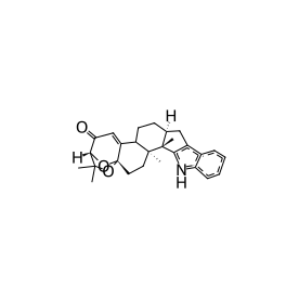 CC1(C)O[C@@]23CC[C@@]4(C)C(CC[C@H]5Cc6c([nH]c7ccccc67)[C@@]54C)C2=CC(=O)[C@@H]1O3